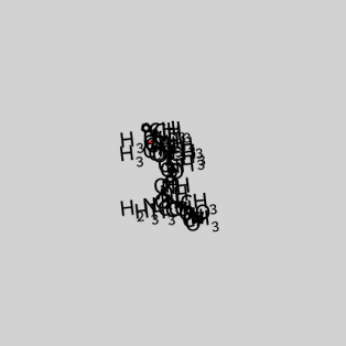 CN[C@H](C(=O)N[C@H](C(=O)N(C)[C@H](/C=C(\C)C(=O)NS(=O)(=O)c1ccc(NC(=O)[C@H](CCCCN)NC(=O)[C@@H](NC(=O)CC(C)(C)CON(C)CN2C(=O)C=CC2=O)C(C)C)cc1)C(C)C)C(C)(C)C)C(C)(C)c1ccccc1